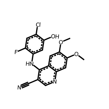 COc1cc2ncc(C#N)c(Nc3cc(O)c(Cl)cc3F)c2cc1OC